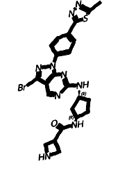 Cc1nnc(-c2ccc(-n3nc(Br)c4cnc(N[C@@H]5CC[C@@H](NC(=O)C6CNC6)C5)nc43)cc2)s1